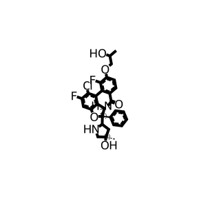 CC(O)COc1ccc(C(N)=O)c(-c2c(Cl)c(F)cc3c2C[C@](c2ccccc2)(C2C[C@@](C)(O)CN2)O3)c1F